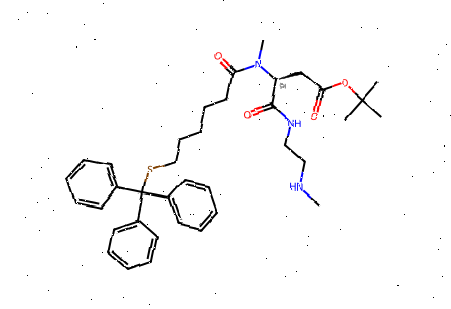 CNCCNC(=O)[C@H](CC(=O)OC(C)(C)C)N(C)C(=O)CCCCCSC(c1ccccc1)(c1ccccc1)c1ccccc1